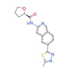 Cc1nnc(-c2ccc3cnc(NC(=O)[C@H]4CCCO4)cc3c2)s1